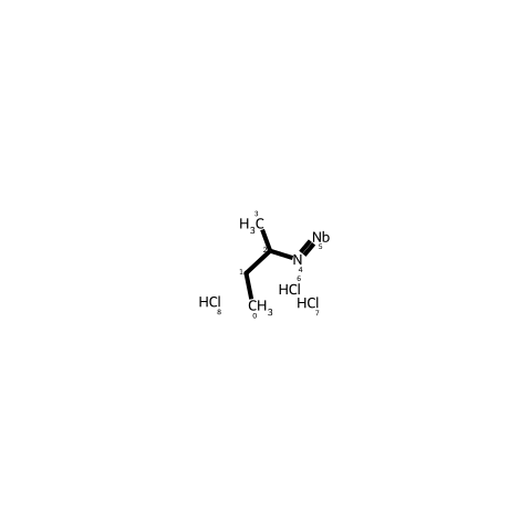 CCC(C)[N]=[Nb].Cl.Cl.Cl